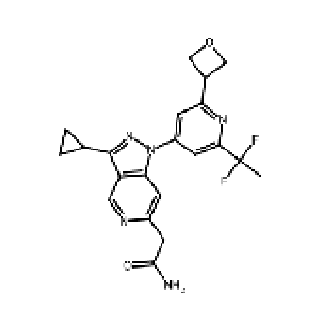 CC(F)(F)c1cc(-n2nc(C3CC3)c3cnc(CC(N)=O)cc32)cc(C2COC2)n1